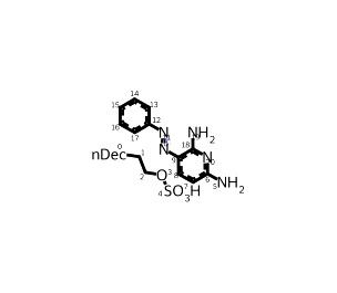 CCCCCCCCCCCCOS(=O)(=O)O.Nc1ccc(/N=N/c2ccccc2)c(N)n1